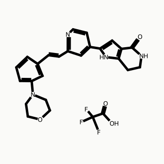 O=C(O)C(F)(F)F.O=C1NCCc2[nH]c(-c3ccnc(C=Cc4cccc(N5CCOCC5)c4)c3)cc21